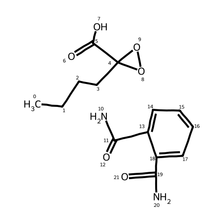 CCCCC1(C(=O)O)OO1.NC(=O)c1ccccc1C(N)=O